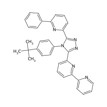 CC(C)(C)c1ccc(-n2c(-c3cccc(-c4ccccc4)n3)nnc2-c2cccc(-c3ccccn3)n2)cc1